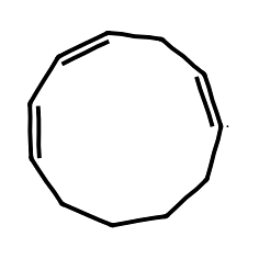 [C]1=CCC=CC=CCCCC1